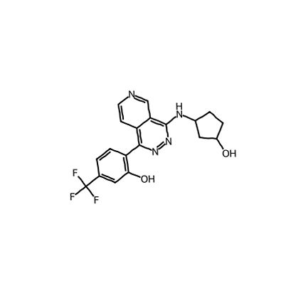 Oc1cc(C(F)(F)F)ccc1-c1nnc(NC2CCC(O)C2)c2cnccc12